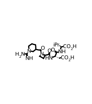 CC(C)[C@H](NC(=O)[C@H](CC(=O)O)NC(=O)C1CCN1C(=O)C1CCCN(C(=N)N)C1)C(=O)O